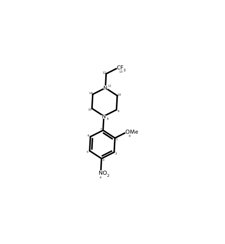 COc1cc([N+](=O)[O-])ccc1N1CCN(CC(F)(F)F)CC1